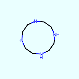 C1C[N]CCNCCNCC[N]1